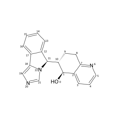 O[C@@H]1c2cccnc2CC[C@H]1[C@@H]1c2ccccc2-c2cncn21